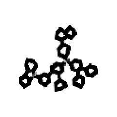 c1ccc(-c2ccc(N(c3ccc(-c4cccc5ccccc45)cc3)c3ccc(-c4cccc(-n5c6ccccc6c6ccccc65)c4)c(-c4ccccc4)c3)cc2-c2ccccc2)cc1